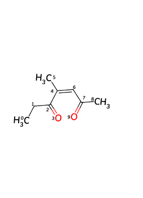 CCC(=O)/C(C)=C\C(C)=O